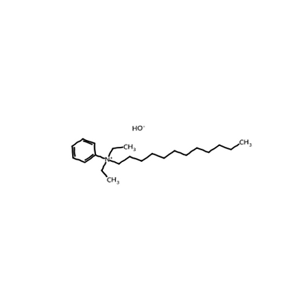 CCCCCCCCCCCC[N+](CC)(CC)c1ccccc1.[OH-]